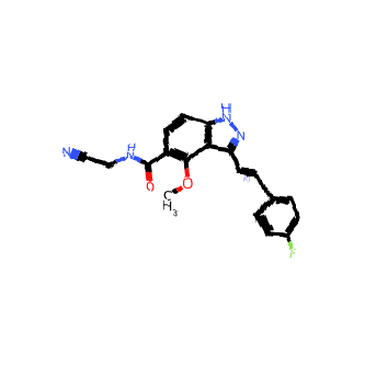 COc1c(C(=O)NCC#N)ccc2[nH]nc(/C=C/c3ccc(F)cc3)c12